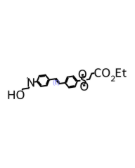 CCOC(=O)CCS(=O)(=O)c1ccc(/C=C/c2ccc(N(C)CCO)cc2)cc1